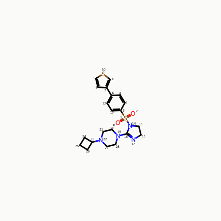 O=S(=O)(c1ccc(-c2ccsc2)cc1)N1CCN=C1N1CCN(C2CCC2)CC1